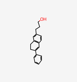 OCCCc1ccc2c(c1)CCC(c1ccccc1)=C2